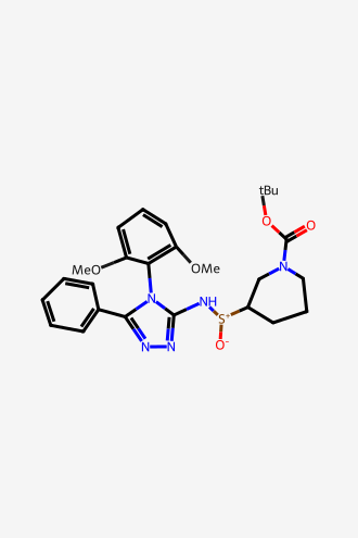 COc1cccc(OC)c1-n1c(N[S+]([O-])C2CCCN(C(=O)OC(C)(C)C)C2)nnc1-c1ccccc1